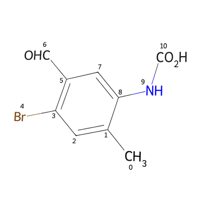 Cc1cc(Br)c(C=O)cc1NC(=O)O